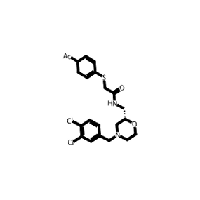 CC(=O)C1C=CC(SCC(=O)NC[C@H]2CN(Cc3ccc(Cl)c(Cl)c3)CCO2)=CC1